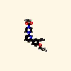 CC(C)(C)OC(=O)N1CCN(c2cccc(-c3ccc(OCC(F)(F)F)c(C(C)(C)C)c3)n2)CC1